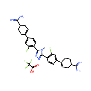 Cn1c(-c2ccc(C3=CCC(C(=N)N)CC3)cc2F)nnc1-c1ccc(C2=CCC(C(=N)N)CC2)cc1F.O=C(O)C(F)(F)F